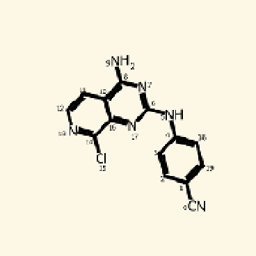 N#Cc1ccc(Nc2nc(N)c3ccnc(Cl)c3n2)cc1